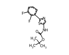 CC(C)(C)OC(=O)Nc1cnc(-c2cccc(F)c2F)s1